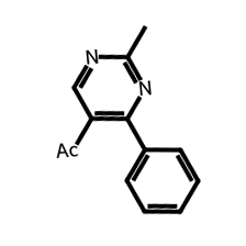 CC(=O)c1cnc(C)nc1-c1ccccc1